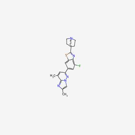 Cc1cn2nc(-c3cc(F)c4nc(C56CCN(CC5)CC6)sc4c3)cc(C)c2n1